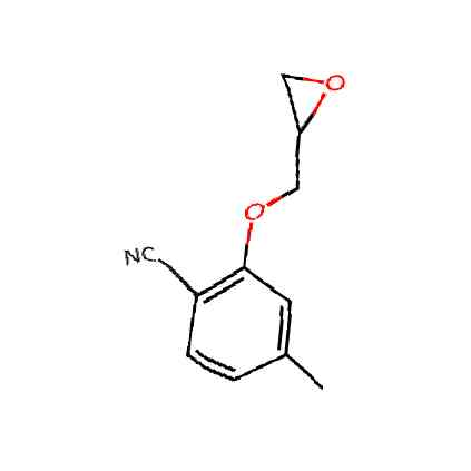 Cc1ccc(C#N)c(OCC2CO2)c1